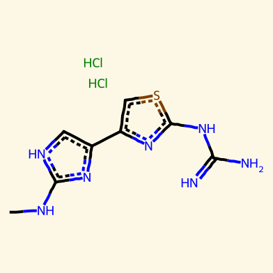 CNc1nc(-c2csc(NC(=N)N)n2)c[nH]1.Cl.Cl